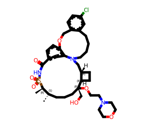 C[C@@H]1[C@@H](C)CCC[C@@](CO)(OCCN2CCOCC2)[C@@H]2CC[C@H]2CN2CCCCc3cc(Cl)ccc3COc3ccc(cc32)C(=O)NS1(=O)=O